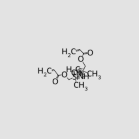 C=CC(=O)OC[Si](C)(C)N[Si](C)(C)COC(=O)C=C